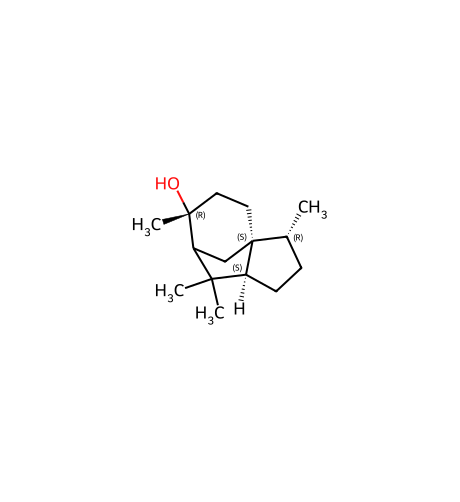 C[C@@H]1CC[C@H]2C(C)(C)C3C[C@@]12CC[C@@]3(C)O